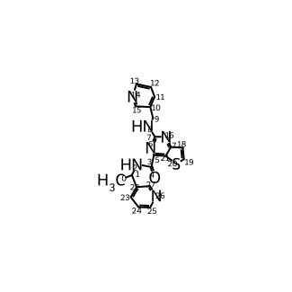 CC(NC(=O)c1nc(NCc2cccnc2)nc2ccsc12)c1cccnc1